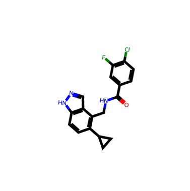 O=C(NCc1c(C2CC2)ccc2[nH]ncc12)c1ccc(Cl)c(F)c1